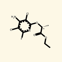 CCOC(=O)[C@@H](C)Oc1nc(F)c(Cl)c(N)c1Cl